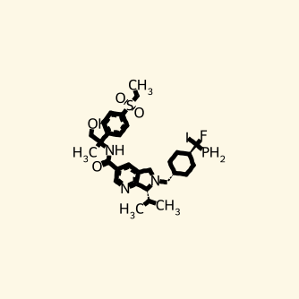 CCS(=O)(=O)c1ccc(C(C)(CO)NC(=O)c2cnc3c(c2)CN(C[C@H]2CC[C@H](C(F)(P)I)CC2)[C@@H]3C(C)C)cc1